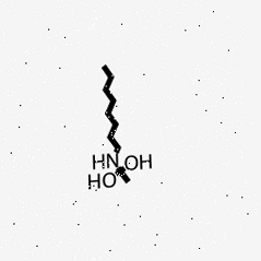 CCCCCCCCNC(C)(O)O